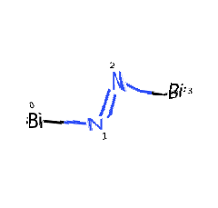 [Bi][N]=[N][Bi]